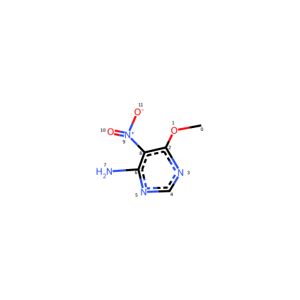 COc1ncnc(N)c1[N+](=O)[O-]